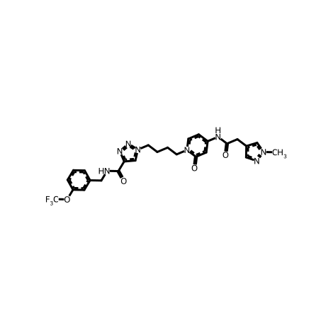 Cn1cc(CC(=O)Nc2ccn(CCCCn3cc(C(=O)NCc4cccc(OC(F)(F)F)c4)nn3)c(=O)c2)cn1